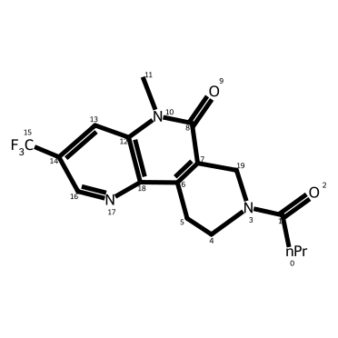 CCCC(=O)N1CCc2c(c(=O)n(C)c3cc(C(F)(F)F)cnc23)C1